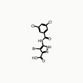 O=C(Nc1[nH]nc(C(=O)O)c1Br)c1cc(Cl)cc(Cl)c1